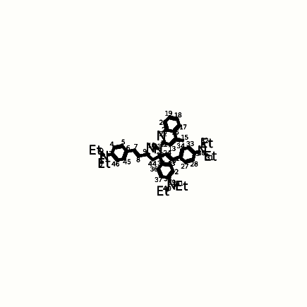 CCN(CC)c1ccc(C=CC2=NN(c3cc(C)c4ccccc4n3)C(C=Cc3ccc(N(CC)CC)cc3)(c3ccc(N(CC)CC)cc3)C2)cc1